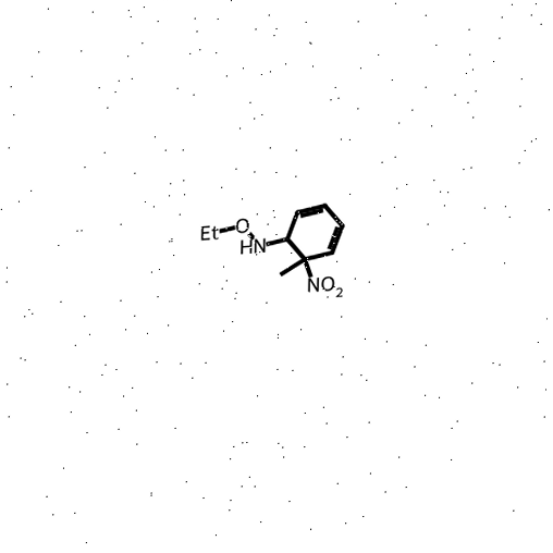 CCONC1C=CC=CC1(C)[N+](=O)[O-]